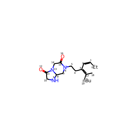 CC/C=C\C(CCN1CC2NCC(=O)N2CC1=O)=C(/C)CCCC